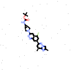 Cc1cn2nc(-c3cc(F)c4cc(N5CC6C(C5)C6NC(=O)OC(C)(C)C)nnc4c3)cc(C)c2n1